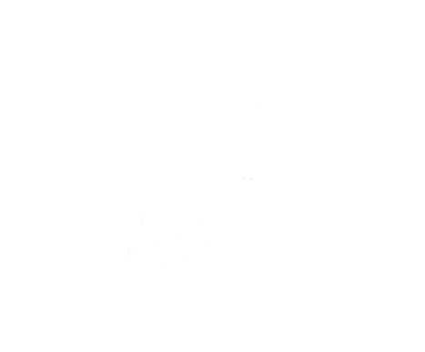 FC(F)(F)C(F)(F)C(F)(F)CCOCCC1CCCO1